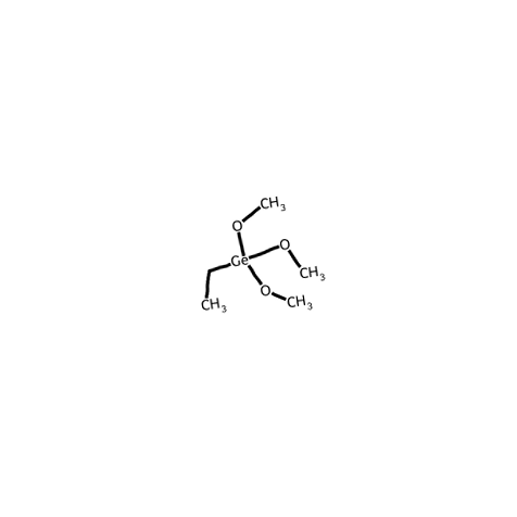 C[CH2][Ge]([O]C)([O]C)[O]C